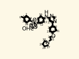 Cc1ccc(S(=O)(=O)N(OC=O)c2ccc(Nc3cc(-c4ccc(OCCN5CCCC5)cc4)ncn3)cc2)cc1